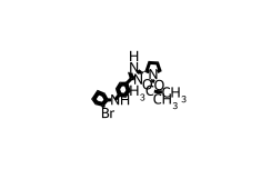 CC(C)(C)OC(=O)N1CCC[C@H]1c1nc(-c2ccc(Nc3ccccc3Br)cc2)c[nH]1